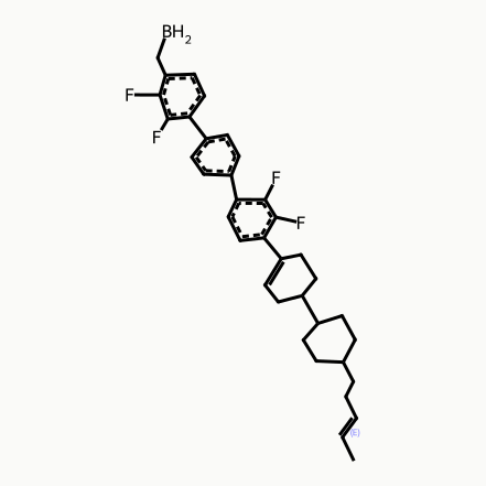 BCc1ccc(-c2ccc(-c3ccc(C4=CCC(C5CCC(CC/C=C/C)CC5)CC4)c(F)c3F)cc2)c(F)c1F